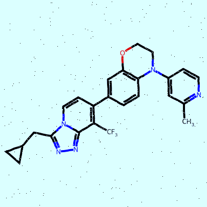 Cc1cc(N2CCOc3cc(-c4ccn5c(CC6CC6)nnc5c4C(F)(F)F)ccc32)ccn1